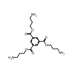 NCCCOC(=O)c1cc(C(=O)OCCCN)cc(C(=O)OCCCN)c1